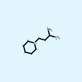 CC(N)CCN1CCCCC1